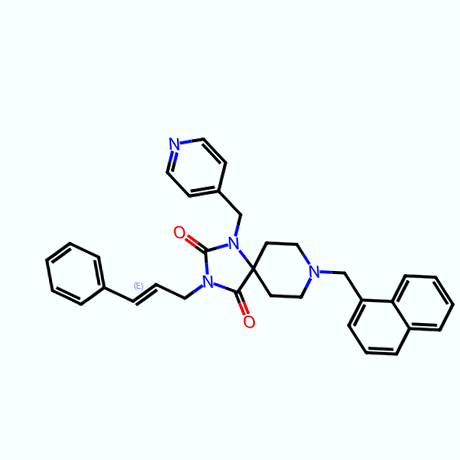 O=C1N(C/C=C/c2ccccc2)C(=O)C2(CCN(Cc3cccc4ccccc34)CC2)N1Cc1ccncc1